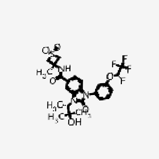 C[C@H](n1c(=O)n(-c2cccc(O[C@@H](F)C(F)(F)F)c2)c2ccc(C(=O)NC3(C)CS(=O)(=O)C3)cc21)C(C)(C)O